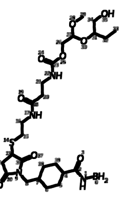 BNC(=O)C1CCC(CN2C(=O)CC(SCCNC(=O)CCNC(=O)OCC(OC)OC(CC)CO)C2=O)CC1